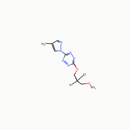 CCC(CC)(COc1nnc(-n2cc(C)cn2)nn1)CO[N+](=O)[O-]